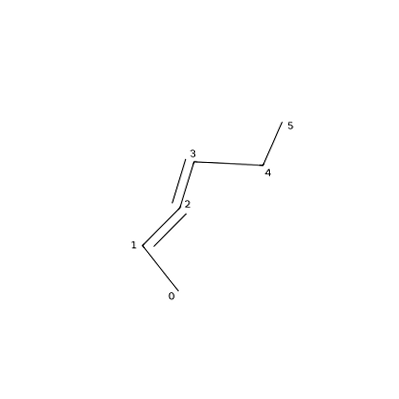 CC=C=CCC